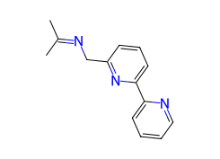 CC(C)=NCc1cccc(-c2ccccn2)n1